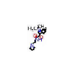 CC(C)N1CC(C(=O)C(=O)NCCCN2CCCCC2)c2ccccc21